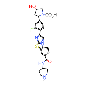 CN1CCC(NC(=O)c2ccc3c(c2)sc2nc(-c4ccc(C5CC(O)CN5C(=O)O)cc4F)cn23)CC1